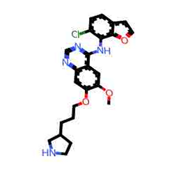 COc1cc2c(Nc3c(Cl)ccc4ccoc34)ncnc2cc1OCCCC1CCNC1